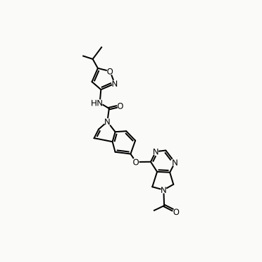 CC(=O)N1Cc2ncnc(Oc3ccc4c(ccn4C(=O)Nc4cc(C(C)C)on4)c3)c2C1